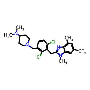 Cc1cc(C(F)(F)F)cc2c1nc(Cc1c(Cl)ccc(CN3CCC(N(C)C)CC3)c1Cl)n2C